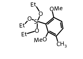 CCO[Si](OCC)(OCC)c1c(OC)ccc(C)c1OC